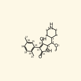 COC(C1CCNCC1)C1NC(=O)C(c2cc(C)ccc2C)=C1O